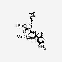 COC[C@@]1(C)SC(N(COCC[Si](C)(C)C)C(=O)OC(C)(C)C)=N[C@](C)(c2cc(N)cnc2F)[C@@H]1C